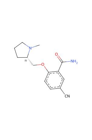 CN1CCC[C@H]1COc1ccc(C#N)cc1C(N)=O